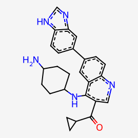 NC1CCC(Nc2c(C(=O)C3CC3)cnc3ccc(-c4ccc5[nH]cnc5c4)cc23)CC1